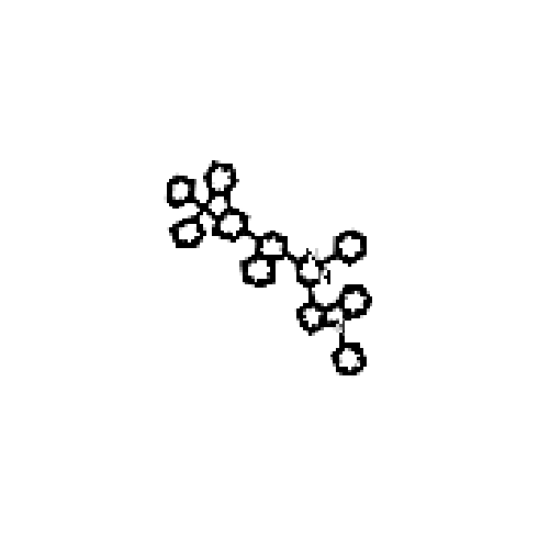 c1ccc(-c2nc(-c3ccc(-c4ccc5c(c4)-c4ccccc4C5(c4ccccc4)c4ccccc4)c4ccccc34)cc(-c3cccc4c3c3ccccc3n4-c3ccccc3)n2)cc1